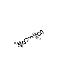 CN(C)S(=O)(=O)c1ccc2c(c1)CCN(CCCSc1nnc(-c3ccc4ncccc4c3)n1C)CC2